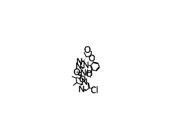 COc1cccc(OC)c1-n1c(NS(=O)(=O)C(C)C(C)c2ncc(Cl)cn2)nnc1[C@H]1CCOC1